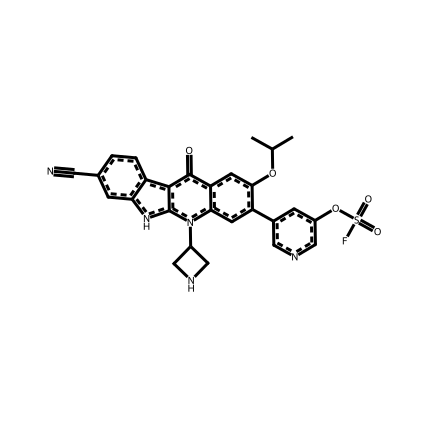 CC(C)Oc1cc2c(=O)c3c4ccc(C#N)cc4[nH]c3n(C3CNC3)c2cc1-c1cncc(OS(=O)(=O)F)c1